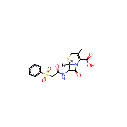 CC1=C(C(=O)O)N2C(=O)C(NC(=O)CS(=O)(=O)c3ccccc3)[C@@H]2SC1